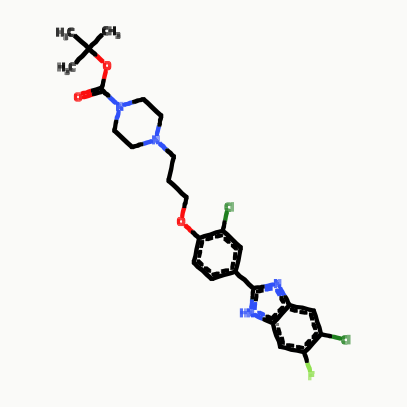 CC(C)(C)OC(=O)N1CCN(CCCOc2ccc(-c3nc4cc(Cl)c(F)cc4[nH]3)cc2Cl)CC1